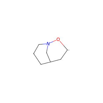 [CH]1CC2CCCN(C2)O1